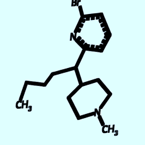 CCCCC(c1cccc(Br)n1)C1CCN(C)CC1